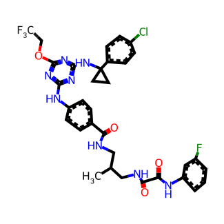 CC(CNC(=O)C(=O)Nc1cccc(F)c1)CNC(=O)c1ccc(Nc2nc(NC3(c4ccc(Cl)cc4)CC3)nc(OCC(F)(F)F)n2)cc1